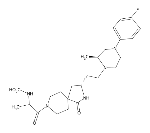 CC(NC(=O)O)C(=O)N1CCC2(CC1)C[C@H](CCN1CCN(c3ccc(F)cc3)C[C@@H]1C)NC2=O